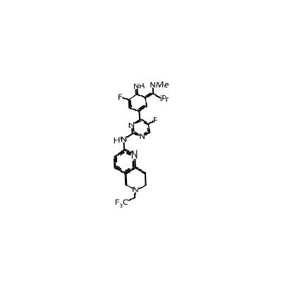 CN/C(=C1/C=C(c2nc(Nc3ccc4c(n3)CCN(CC(F)(F)F)C4)ncc2F)C=C(F)C1=N)C(C)C